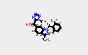 Cc1nn(Cc2c(Cl)cccc2Cl)c2cc(C(O)c3nnnn3C)ccc12